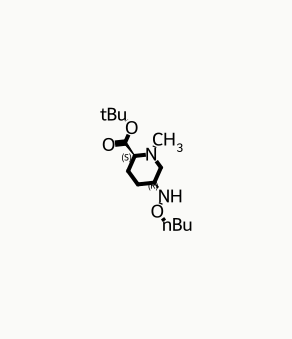 CCCCON[C@@H]1CC[C@@H](C(=O)OC(C)(C)C)N(C)C1